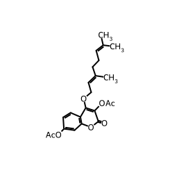 CC(=O)Oc1ccc2c(OC/C=C(\C)CCC=C(C)C)c(OC(C)=O)c(=O)oc2c1